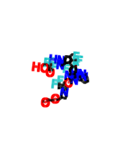 COCCOCC1CCN(C[C@@]2(COc3nc(C4NCC5CCC4(C)N5)c4cc(F)c(-c5c(C(F)(F)F)c(C)cc6[nH]ncc56)c(F)c4n3)CC2(F)F)C1.O=C(O)C(F)(F)F